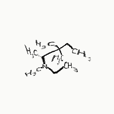 CCN(C)[C@H](C)C(C)(C)CC